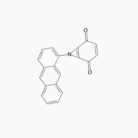 O=c1ccc(=O)c2n(-c3cccc4cc5ccccc5cc34)c1=2